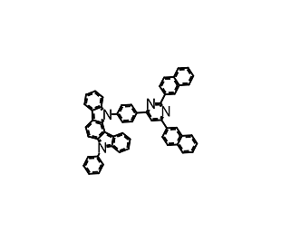 c1ccc(-n2c3ccccc3c3c2ccc2c4ccccc4n(-c4ccc(-c5cc(-c6ccc7ccccc7c6)nc(-c6ccc7ccccc7c6)n5)cc4)c23)cc1